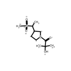 CC(C1CCN(C(=O)C(C)(C)O)C1)S(N)(=O)=O